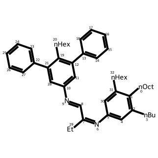 CCCCCCCCc1c(CCCC)cc(N=C(C=Nc2cc(-c3ccccc3)c(CCCCCC)c(-c3ccccc3)c2)CC)cc1CCCCCC